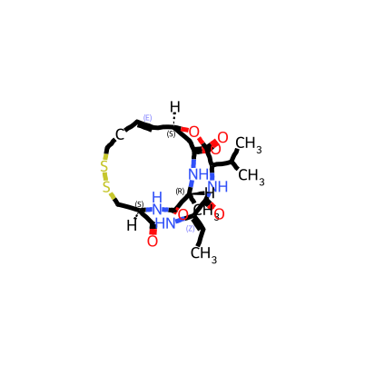 C/C=C1\NC(=O)[C@H]2CSSCC/C=C/[C@H](CC(=O)N[C@H](C)C(=O)N2)OC(=O)C(C(C)C)NC1=O